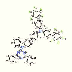 Fc1c(F)c(F)c(-c2ccc(N(c3ccc(-c4ccc5c(c4)c4ccccc4n5-c4nc(-c5ccccc5)nc(-c5ccccc5)n4)cc3)c3ccc(-c4c(F)c(F)c(F)c(F)c4F)cc3)cc2)c(F)c1F